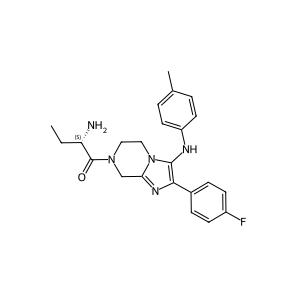 CC[C@H](N)C(=O)N1CCn2c(nc(-c3ccc(F)cc3)c2Nc2ccc(C)cc2)C1